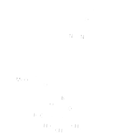 COCOc1cc(-c2cnn(C3CCCCO3)c2)ccc1B1OC(C)(C)C(C)(C)O1